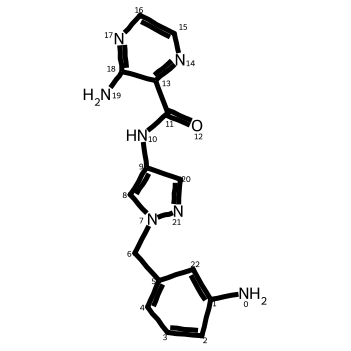 Nc1cccc(Cn2cc(NC(=O)c3nccnc3N)cn2)c1